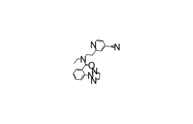 CCN(CCc1cc(C#N)ccn1)C(=O)c1ccccc1-n1nccn1